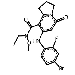 CCN(OC)C(=O)c1c(Nc2ccc(Br)cc2F)cc(=O)n2c1CCC2